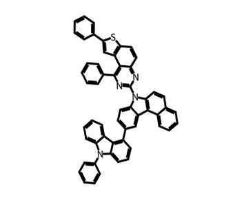 c1ccc(-c2cc3c(ccc4nc(-n5c6ccc(-c7cccc8c7c7ccccc7n8-c7ccccc7)cc6c6c7ccccc7ccc65)nc(-c5ccccc5)c43)s2)cc1